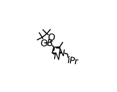 Cc1c(B2OC(C)(C)C(C)(C)O2)cnn1CC(C)C